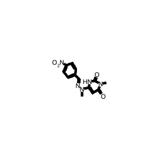 CN(N=Cc1ccc([N+](=O)[O-])cc1)c1cc(=O)n(C)c(=O)[nH]1